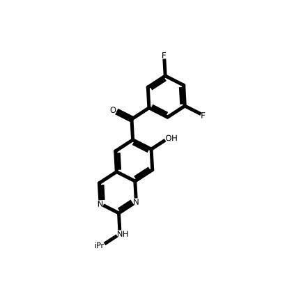 CC(C)Nc1ncc2cc(C(=O)c3cc(F)cc(F)c3)c(O)cc2n1